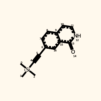 C[Si](C)(C)C#Cc1ccc2cc[nH]c(=O)c2c1